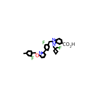 Cc1ccc(COc2cccc(-c3ccc(Cc4nc5ccc(C(=O)O)cc5n4CC4(CF)CCC4)c(F)c3)n2)c(F)c1